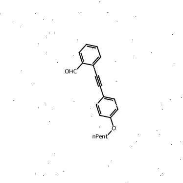 CCCCCOc1ccc(C#Cc2ccccc2C=O)cc1